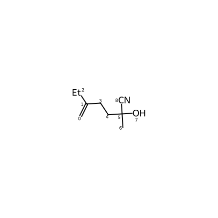 C=C(CC)CCC(C)(O)C#N